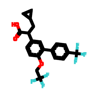 O=C(O)C(CC1CC1)c1ccc(OCC(F)(F)F)c(-c2ccc(C(F)(F)F)cc2)c1